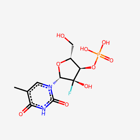 Cc1cn([C@@H]2O[C@H](CO)[C@@H](OP(=O)(O)O)[C@]2(O)F)c(=O)[nH]c1=O